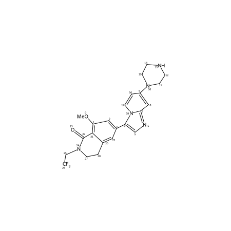 COc1cc(-c2cnc3cc(N4CCNCC4)ccn23)cc2c1C(=O)N(CC(F)(F)F)CC2